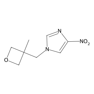 CC1(Cn2cnc([N+](=O)[O-])c2)COC1